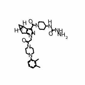 Cc1cccc(N2CCN(C(=O)Cn3nc(C(=O)N4CCC(NC(=O)NN)CC4)c4c3C[C@H]3C[C@@H]43)CC2)c1C